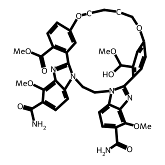 COC(=O)c1ccc2cc1-c1nc3c(OC)c(C(N)=O)ccc3n1CCn1c(nc3c(OC)c(C(N)=O)ccc31)-c1ccc(cc1C(O)OC)OCCCCO2